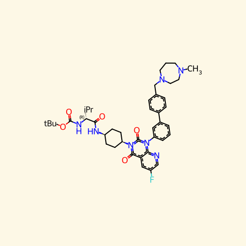 CC(C)[C@@H](NC(=O)OC(C)(C)C)C(=O)N[C@H]1CC[C@@H](n2c(=O)c3cc(F)cnc3n(-c3cccc(-c4ccc(CN5CCCN(C)CC5)cc4)c3)c2=O)CC1